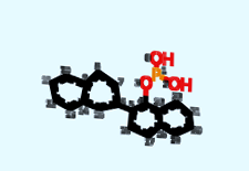 OP(O)Oc1c(-c2ccc3ccccc3c2)ccc2ccccc12